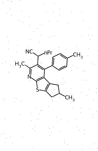 CCCC(C#N)c1c(C)nc2sc3c(c2c1-c1ccc(C)cc1)CC(C)C3